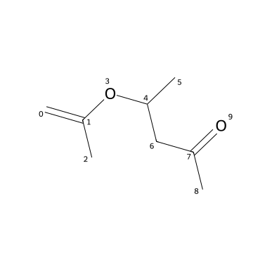 C=C(C)OC(C)CC(C)=O